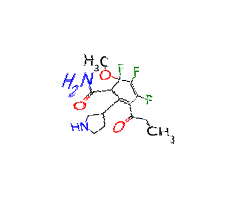 CCC(=O)C1=C(C2CCNC2)C(C(N)=O)C(F)(OC)C(F)=C1F